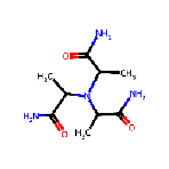 CC(C(N)=O)N(C(C)C(N)=O)C(C)C(N)=O